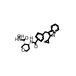 O=C(N[C@@H]1CCOC[C@@H]1C(=O)NO)c1ccc(Cc2c(C3CC3)nn3ccccc23)cc1